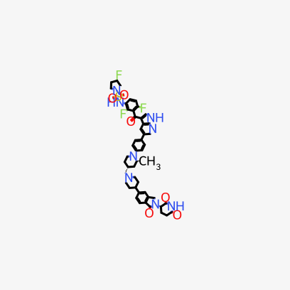 C[C@@H]1C[C@H](CN2CCC(c3ccc4c(c3)CN([C@@H]3CCC(=O)NC3=O)C4=O)CC2)CCN1c1ccc(-c2cnc3[nH]cc(C(=O)c4c(F)ccc(NS(=O)(=O)N5CC[C@@H](F)C5)c4F)c3c2)cc1